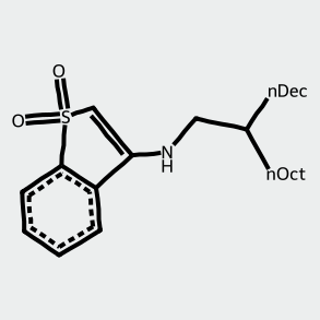 CCCCCCCCCCC(CCCCCCCC)CNC1=CS(=O)(=O)c2ccccc21